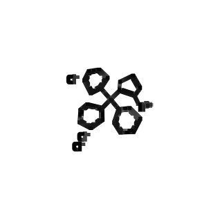 [Cl-].[Cl-].[Cl-].[Ti+3][C]1=C(C(c2ccccc2)(c2ccccc2)c2ccccc2)CC=C1